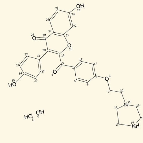 Cl.Cl.O=C(c1ccc(OCCN2CCNCC2)cc1)c1oc2cc(O)ccc2c(=O)c1-c1ccc(O)cc1